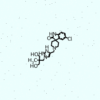 CC(CO)(CO)CN1C=C(CN2CCC3(CC2)C(=O)Nc2ccc(Cl)cc23)NN1